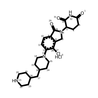 Cl.O=C1CCC(N2Cc3c(ccc(N4CCC(CC5CCNCC5)CC4)c3Cl)C2=O)C(=O)N1